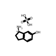 N[C@@H]1CCc2ccc(O)cc21.O=S(=O)(O)O